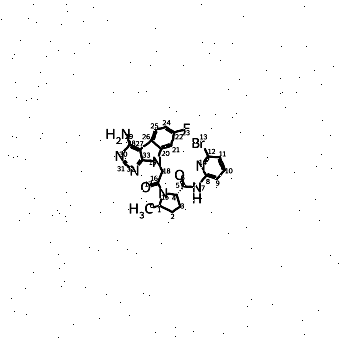 C[C@@H]1CC[C@@H](C(=O)Nc2cccc(Br)n2)N1C(=O)Cn1c2cc(F)ccc2c2c(N)ncnc21